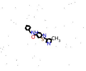 Cc1cncc(-c2nc3ccc(C(=O)NCc4ccccc4)cc3s2)c1